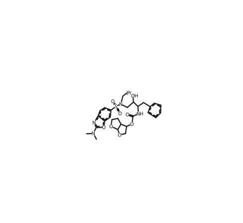 CC(C)CN(CC(O)C(Cc1ccccc1)NC(=O)OC1COC2OCCC12)S(=O)(=O)c1ccc2nc(N(C)C)oc2c1